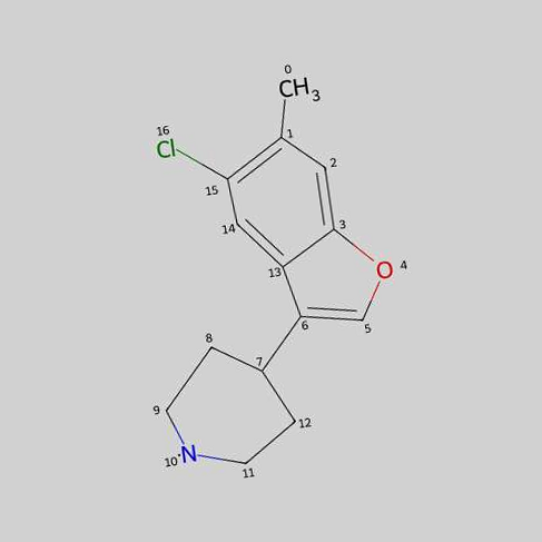 Cc1cc2occ(C3CC[N]CC3)c2cc1Cl